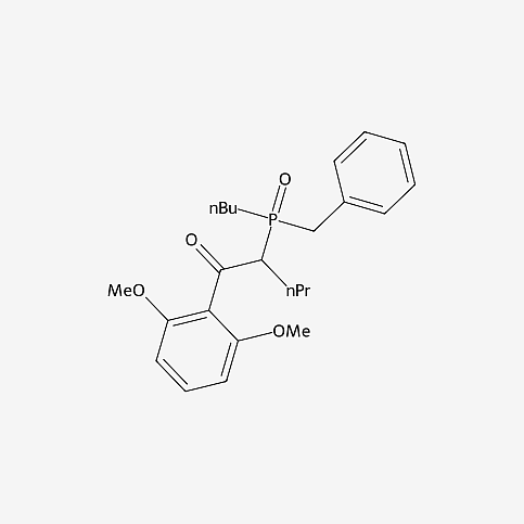 CCCCP(=O)(Cc1ccccc1)C(CCC)C(=O)c1c(OC)cccc1OC